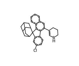 Clc1ccc2c(c1)C1(c3c-2c(C2=CBCCC2)cc2ccccc32)C2CC3CC(C2)CC1C3